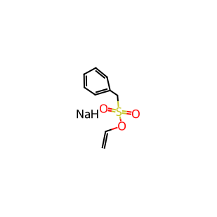 C=COS(=O)(=O)Cc1ccccc1.[NaH]